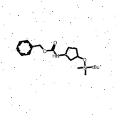 CC(C)(C)[Si](C)(C)OC1CCC(NC(=O)OCc2ccccc2)C1